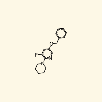 Fc1cc(OCc2ccccc2)cnc1N1CCCCC1